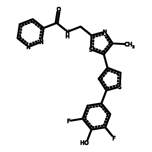 Cc1nc(CNC(=O)c2cccnn2)sc1-c1csc(-c2cc(F)c(O)c(F)c2)c1